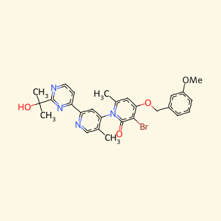 COc1cccc(COc2cc(C)n(-c3cc(-c4ccnc(C(C)(C)O)n4)ncc3C)c(=O)c2Br)c1